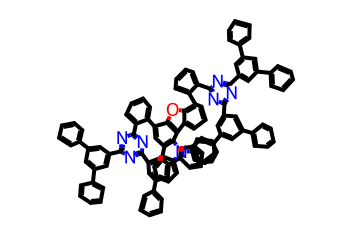 c1ccc(-c2cc(-c3ccccc3)cc(-c3nc(-c4cc(-c5ccccc5)cc(-c5ccccc5)c4)nc(-c4ccccc4-c4cccc5c4oc4c(-c6ccccc6-c6nc(-c7cc(-c8ccccc8)cc(-c8ccccc8)c7)nc(-c7cc(-c8ccccc8)cc(-c8ccccc8)c7)n6)cc6c7ccccc7n(-c7ccccc7)c6c45)n3)c2)cc1